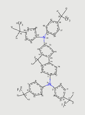 CC1(C)c2cc(N(c3ccc(C(C)(C)C(F)(F)F)cc3)c3ccc(C(C)(C)C(F)(F)F)cc3)ccc2-c2ccc(N(c3ccc(C(C)(C)C(F)(F)F)cc3)c3ccc(C(C)(C)C(F)(F)F)cc3)cc21